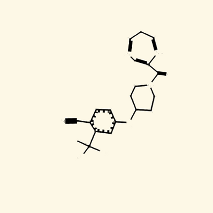 N#Cc1ccc(OC2CCN(C(=O)C3=CN=CCC=N3)CC2)cc1C(F)(F)F